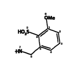 COc1cccc(C[NH])c1S(=O)(=O)O